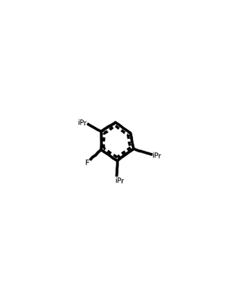 CC(C)c1ccc(C(C)C)c(C(C)C)c1F